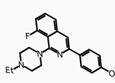 CCN1CCN(c2nc(-c3ccc(O)cc3)cc3cccc(F)c23)CC1